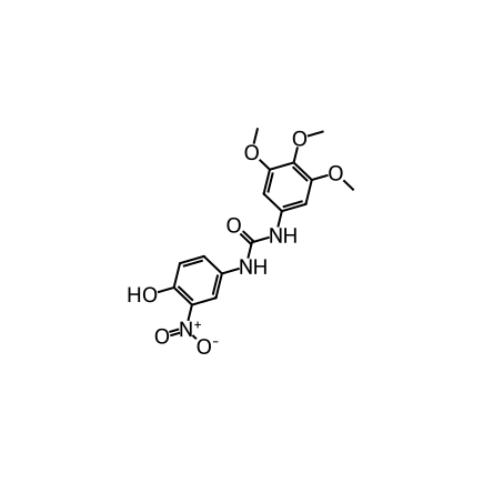 COc1cc(NC(=O)Nc2ccc(O)c([N+](=O)[O-])c2)cc(OC)c1OC